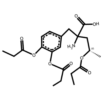 CCC(=O)Oc1ccc(CC(N)(C[C@H](C)OC(=O)CC)C(=O)O)cc1OC(=O)CC